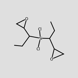 CCC(C1CO1)[Si](Cl)(Cl)C(CC)C1CO1